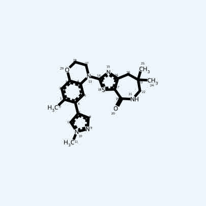 Cc1cc2c(cc1-c1cnn(C)c1)N(c1nc3c(s1)C(=O)NCC(C)(C)C3)CCO2